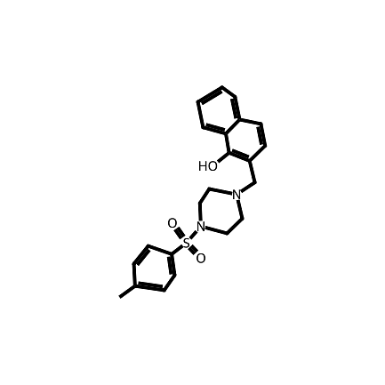 Cc1ccc(S(=O)(=O)N2CCN(Cc3ccc4ccccc4c3O)CC2)cc1